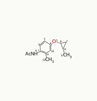 CC(=O)Nc1ccc(OC2CC2C)cc1C